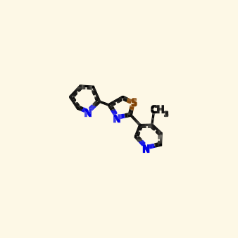 Cc1ccncc1-c1nc(-c2ccccn2)cs1